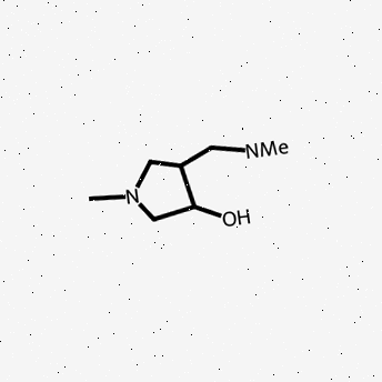 CNCC1CN(C)CC1O